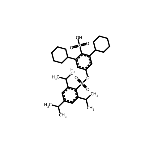 CC(C)c1cc(C(C)C)c(S(=O)(=O)Oc2cc(C3CCCCC3)c(S(=O)(=O)O)c(C3CCCCC3)c2)c(C(C)C)c1